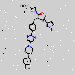 CCCC1CCC(C2CCN(c3cnc(-c4ccc(C[C@H](NC(=O)c5ccn(C(C)(C)C)c5)C(=O)N5CC(C(=O)O)C5)cc4)nc3)CC2)CC1